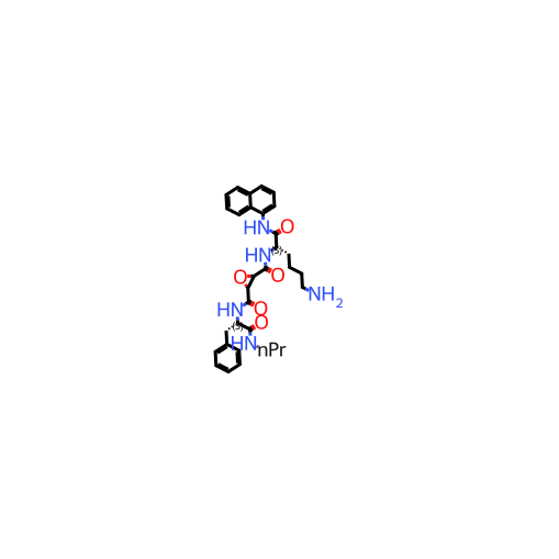 CCCNC(=O)[C@H](Cc1ccccc1)NC(=O)C1OC1C(=O)N[C@@H](CCCCN)C(=O)Nc1cccc2ccccc12